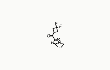 O=C(c1nc2n(n1)CCC2)C1CC(F)(F)C1